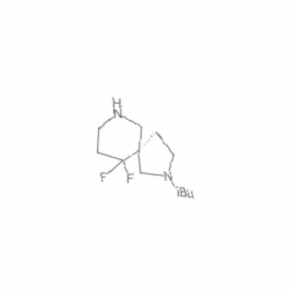 CCC(C)N1CC[C@]2(CNCCC2(F)F)C1